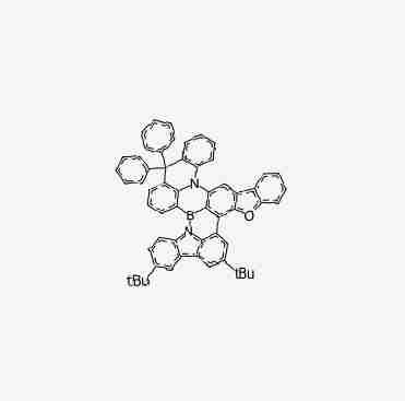 CC(C)(C)c1ccc2c(c1)c1cc(C(C)(C)C)cc3c1n2B1c2cccc4c2N(c2ccccc2C4(c2ccccc2)c2ccccc2)c2cc4c(oc5ccccc54)c-3c21